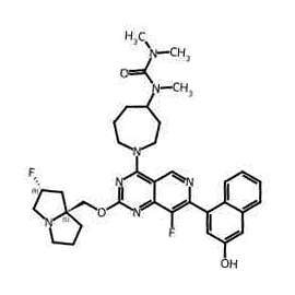 CN(C)C(=O)N(C)C1CCCN(c2nc(OC[C@@]34CCCN3C[C@H](F)C4)nc3c(F)c(-c4cc(O)cc5ccccc45)ncc23)CC1